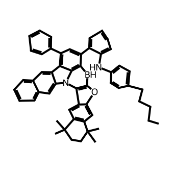 CCCCCc1ccc(Nc2ccccc2-c2cc(-c3ccccc3)c3c4cc5ccccc5cc4n4c3c2Bc2oc3cc5c(cc3c2-4)C(C)(C)CCC5(C)C)cc1